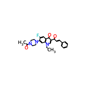 CCn1cc(C(=O)C=Cc2ccccc2)c(=O)c2cc(F)c(N3CCN(C(C)=O)CC3)cc21